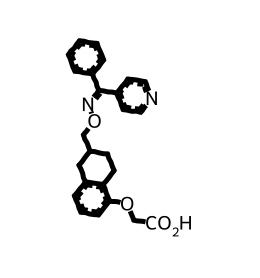 O=C(O)COc1cccc2c1CCC(CON=C(c1ccccc1)c1ccncc1)C2